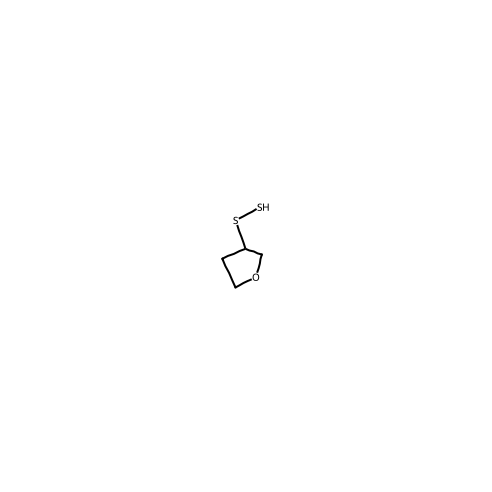 SSC1CCOC1